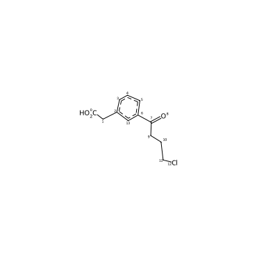 O=C(O)Cc1cccc(C(=O)CCCCl)c1